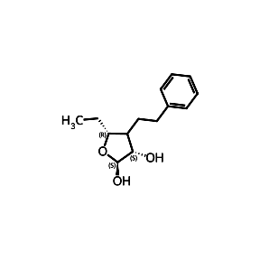 CC[C@H]1O[C@H](O)[C@@H](O)C1CCc1ccccc1